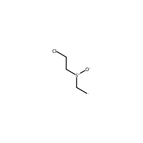 [CH2]C[S+]([O-])CCCl